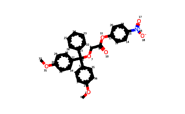 COc1ccc(C(OCC(=O)Oc2ccc([N+](=O)[O-])cc2)(c2ccccc2)c2ccc(OC)cc2)cc1